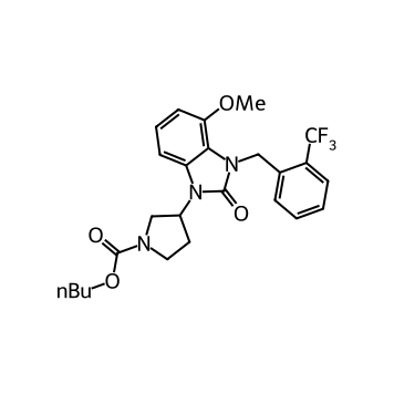 CCCCOC(=O)N1CCC(n2c(=O)n(Cc3ccccc3C(F)(F)F)c3c(OC)cccc32)C1